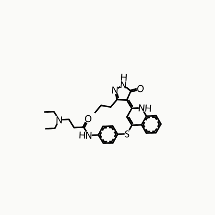 CCCC1=NNC(=O)/C1=C1/C=C(Sc2ccc(NC(=O)CCN(CC)CC)cc2)c2ccccc2N1